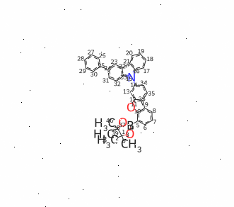 CC1(C)OB(c2cccc3c2oc2cc(-n4c5ccccc5c5cc(-c6ccccc6)ccc54)ccc23)OC1(C)C